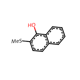 CSc1ccc2ccccc2c1O